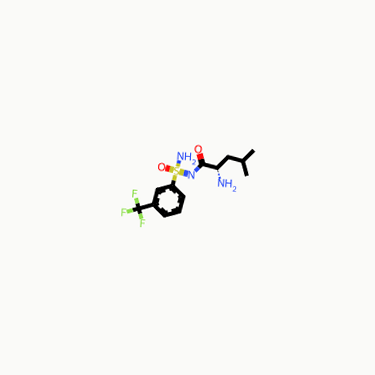 CC(C)C[C@H](N)C(=O)N=S(N)(=O)c1cccc(C(F)(F)F)c1